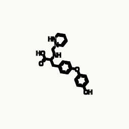 O=C(O)C(Cc1ccc(Oc2ccc(O)cc2)cc1)NCN1C=CC=CN1